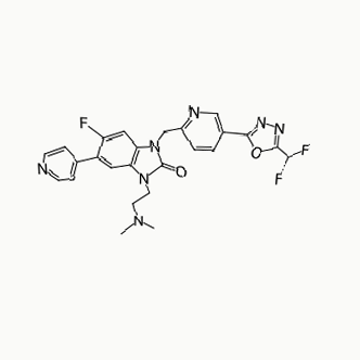 CN(C)CCn1c(=O)n(Cc2ccc(-c3nnc(C(F)F)o3)cn2)c2cc(F)c(-c3ccncc3)cc21